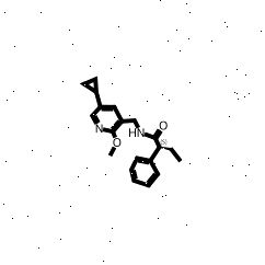 CC[C@H](C(=O)NCc1cc(C2CC2)cnc1OC)c1ccccc1